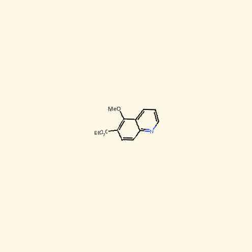 CCOC(=O)c1ccc2ncccc2c1OC